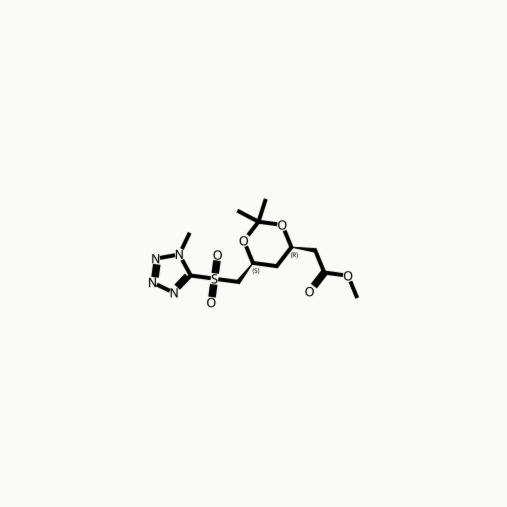 COC(=O)C[C@H]1C[C@@H](CS(=O)(=O)c2nnnn2C)OC(C)(C)O1